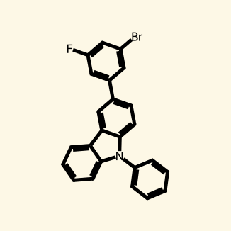 Fc1cc(Br)cc(-c2ccc3c(c2)c2ccccc2n3-c2ccccc2)c1